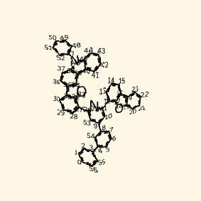 c1ccc(-c2cccc(-c3cc(-c4cccc5c4oc4ccccc45)nc(-c4cccc5c4oc4c5ccc5c4c4ccccc4n5-c4ccccc4)c3)c2)cc1